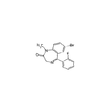 CN1C(=O)CN=C(c2ccccc2F)c2cc(Br)ccc21